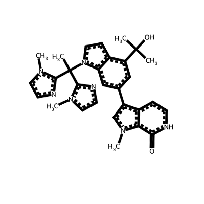 Cn1ccnc1C(C)(c1nccn1C)n1ccc2c(C(C)(C)O)cc(-c3cn(C)c4c(=O)[nH]ccc34)cc21